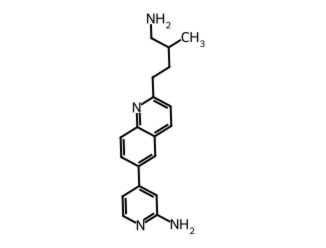 CC(CN)CCc1ccc2cc(-c3ccnc(N)c3)ccc2n1